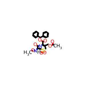 CO/N=C1\C(=O)N2C(C(=O)OC(c3ccccc3)c3ccccc3)=C(COC(C)=O)CS(=O)(=O)[C@H]12